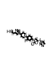 O=C1O[C@@H](Cn2ccnn2)CN1c1ccc(N2CCC(n3cc(CO)nn3)CC2)c(F)c1